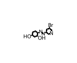 Oc1ccc(/N=N/c2cncc(Br)c2)c(O)c1